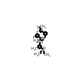 CCCN(CCC)C(=O)c1cc(C)cc(C(=O)OC(CNCc2cccc(-c3ccc(C(C)=O)s3)c2)C(N)Cc2cc(F)cc(F)c2)c1